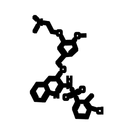 COc1ccc(COc2cc3ccccc3nc2NS(=O)(=O)c2cccc(Cl)c2C)cc1OCCN(C)C